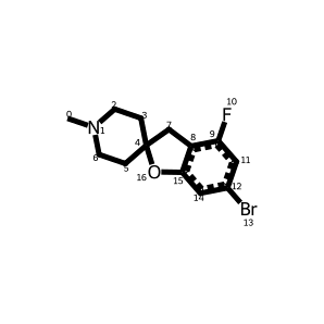 CN1CCC2(CC1)Cc1c(F)cc(Br)cc1O2